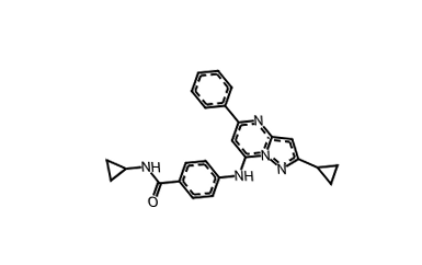 O=C(NC1CC1)c1ccc(Nc2cc(-c3ccccc3)nc3cc(C4CC4)nn23)cc1